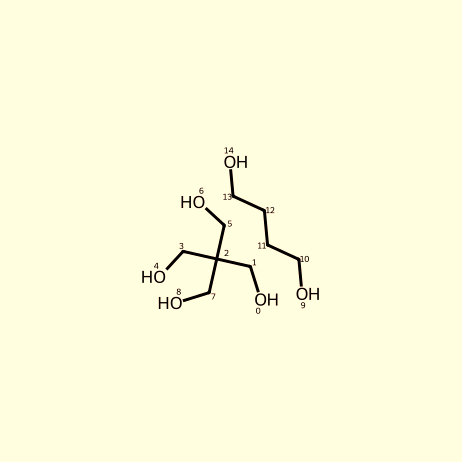 OCC(CO)(CO)CO.OCCCCO